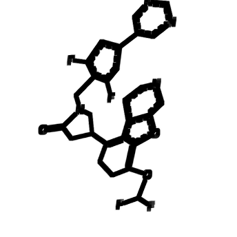 O=C1CC(C2=c3c(oc4cnccc34)=C(OC(F)F)CC2)CN1Cc1c(F)cc(-c2cncnc2)cc1F